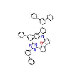 c1ccc(-c2cc(-c3ccccc3)cc(-c3ccc4c(c3)c3ccccc3n4-c3cccc4c3oc3c(-c5nc(-c6cccc(-c7ccccc7)c6)nc(-c6cccc(-c7ccccc7)c6)n5)cccc34)c2)cc1